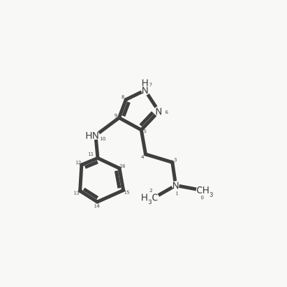 CN(C)CCc1n[nH]cc1Nc1ccccc1